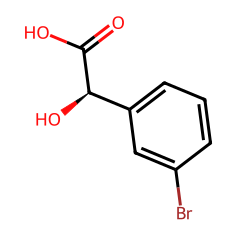 O=C(O)[C@H](O)c1cccc(Br)c1